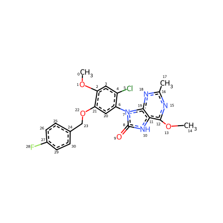 COc1cc(Cl)c(-n2c(=O)[nH]c3c(OC)nc(C)nc32)cc1OCc1ccc(F)cc1